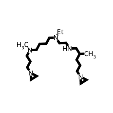 CCN(CCCCN(C)CCCN1CC1)CCNCC(C)CCCN1CC1